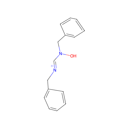 ON(/C=N/Cc1ccccc1)Cc1ccccc1